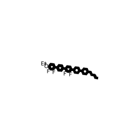 C/C=C/CCC1CCC(C2CCC(c3ccc(-c4ccc(-c5ccc(OCC)c(F)c5F)cc4)c(F)c3F)CC2)CC1